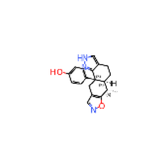 C[C@@H]1c2oncc2C[C@]2(c3ccc(O)cc3)c3n[nH]cc3CC[C@@H]12